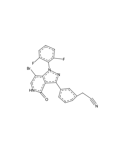 N#CCc1cccc(-c2nn(-c3c(F)cccc3F)c3c(Br)c[nH]c(=O)c23)c1